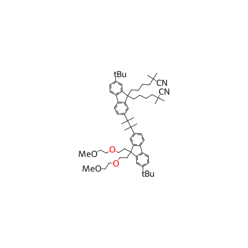 COCCOCCC1(CCOCCOC)c2cc(C(C)(C)C)ccc2-c2ccc(C(C)(C)C(C)(C)c3ccc4c(c3)C(CCCCC(C)(C)C#N)(CCCCC(C)(C)C#N)c3cc(C(C)(C)C)ccc3-4)cc21